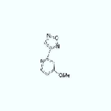 COc1ccnc(-c2cnon2)c1